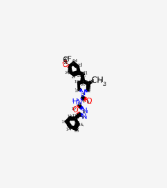 CC1CN(C(=O)Nc2nnc(-c3ccccc3)o2)CCC1=Cc1ccc(OC(F)(F)F)cc1